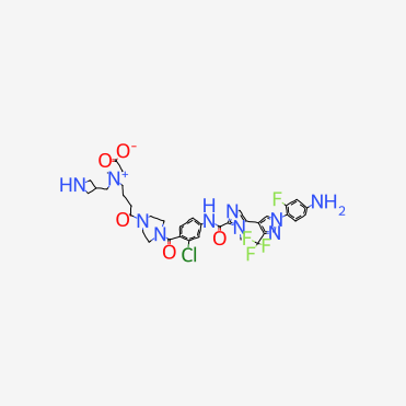 Cn1c(-c2cn(-c3ccc(N)cc3F)nc2C(F)(F)F)cnc1C(=O)Nc1ccc(C(=O)N2CCN(C(=O)CCC[N+](C)(CC(=O)[O-])CC3CNC3)CC2)c(Cl)c1